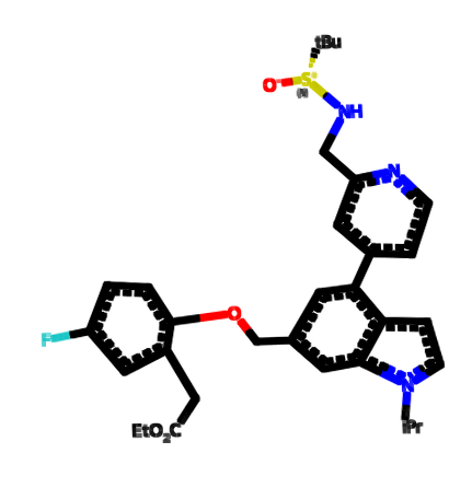 CCOC(=O)Cc1cc(F)ccc1OCc1cc(-c2ccnc(CN[S@+]([O-])C(C)(C)C)c2)c2ccn(C(C)C)c2c1